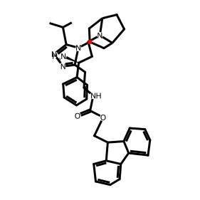 CC(C)c1nnc(CCNC(=O)OCC2c3ccccc3-c3ccccc32)n1C1CC2CCC(C1)N2CC[C@H](N)c1ccccc1